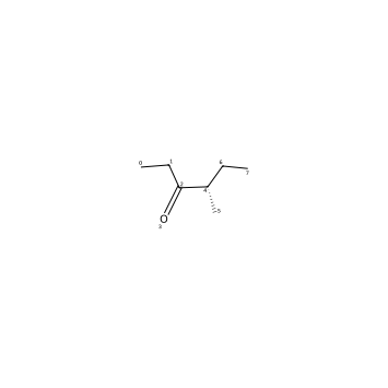 CCC(=O)[C@@H](C)CC